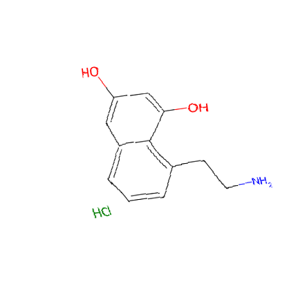 Cl.NCCc1cccc2cc(O)cc(O)c12